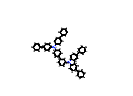 c1ccc(-c2ccc(N(c3ccc(-c4ccccc4)cc3)c3ccc(-c4cccc(-n5c6ccc(-c7ccccc7)cc6c6cc(-c7ccccc7)ccc65)c4)cc3)cc2)cc1